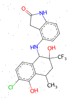 CC1CC(O)(C(F)(F)F)C(Nc2cccc3c2CC(=O)N3)c2ccc(Cl)c(O)c21